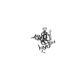 CCC(C)CNC(=O)CC(O)C(CC(C)C)NC(=O)[C@H](CC(C)C)NC(=O)OC(C)(C)C